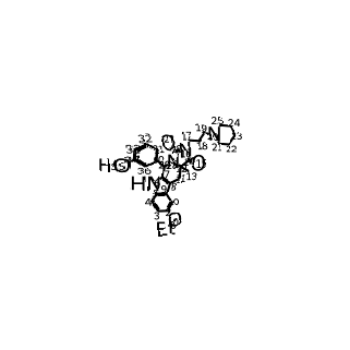 CCOc1ccc2[nH]c3c(c2c1)CC1(C)C(=O)N(CCCN2CCCCC2)C(=O)N1C3c1cccc(O)c1